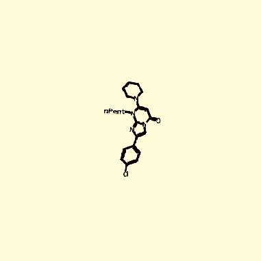 CCCCCn1c(N2CCCCC2)cc(=O)n2cc(-c3ccc(Cl)cc3)nc12